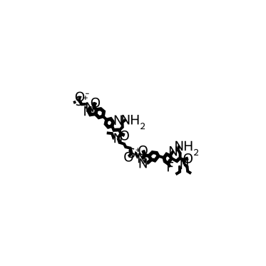 CCCN(CCCC[S+]([O-])CCn1ncc2cc(-c3cc(F)c4c(c3)N=C(N)CC(C(=O)N(CCC)CCC)=C4)ccc2c1=O)C(=O)C1=Cc2ccc(-c3ccc4c(=O)n(CC[S+](C)[O-])ncc4c3)cc2N=C(N)C1